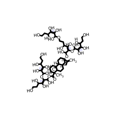 C=C1C[C@@]23CCC4C(C)(CCC[C@@]4(C)C(=O)OC(O)/C(OC(O)/C(O)=C(\O)C(O)CCO)=C(\O)C(O)CCO)[C@@H]2CC[C@]1(OC(O)/C(OC(O)/C(O)=C(/O)C(O)CCO)=C(/O)C(O)CCOC(O)/C(O)=C(/O)C(O)CCO)C3